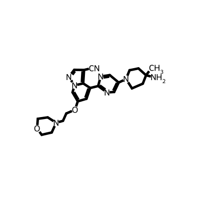 CC1(N)CCN(c2cnc(-c3cc(OCCN4CCOCC4)cn4ncc(C#N)c34)nc2)CC1